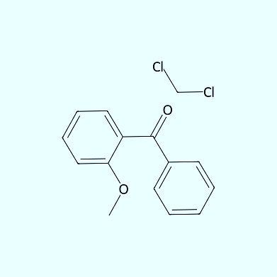 COc1ccccc1C(=O)c1ccccc1.ClCCl